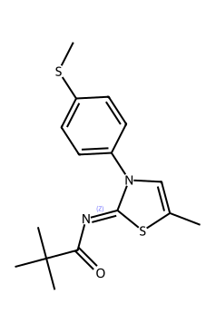 CSc1ccc(-n2cc(C)s/c2=N\C(=O)C(C)(C)C)cc1